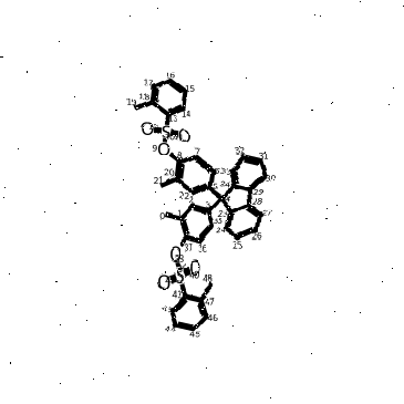 Cc1cc(C2(c3ccc(OS(=O)(=O)c4ccccc4C)c(C)c3)c3ccccc3-c3ccccc32)ccc1OS(=O)(=O)c1ccccc1C